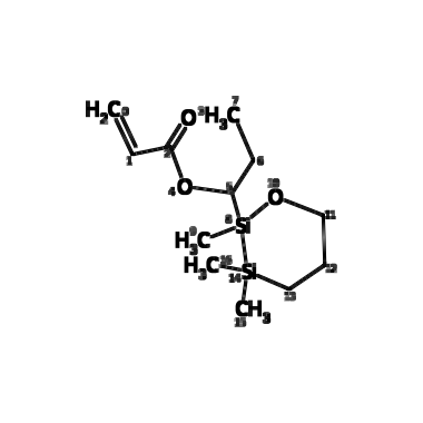 C=CC(=O)OC(CC)[Si]1(C)OCCC[Si]1(C)C